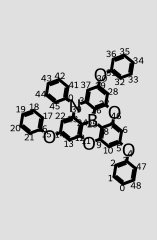 c1ccc(Oc2cc3c4c(c2)Oc2cc(Oc5ccccc5)cc5c2B4c2c(cc(Oc4ccccc4)cc2N5c2ccccc2)O3)cc1